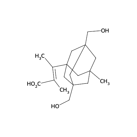 CC(C(=O)O)=C(C)C12CC3(C)CC(CO)(CC(CO)(C3)C1)C2